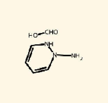 NN1C=CC=CN1.O=CO